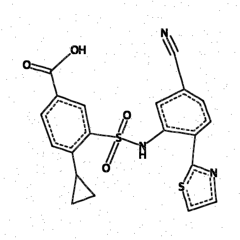 N#Cc1ccc(-c2nccs2)c(NS(=O)(=O)c2cc(C(=O)O)ccc2C2CC2)c1